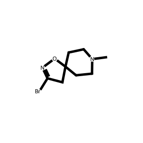 CN1CCC2(CC1)CC(Br)=NO2